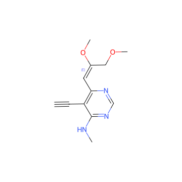 C#Cc1c(/C=C(\COC)OC)ncnc1NC